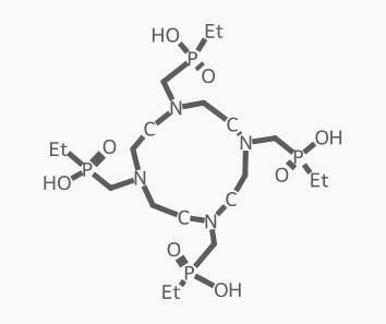 CCP(=O)(O)CN1CCN(CP(=O)(O)CC)CCN(CP(=O)(O)CC)CCN(CP(=O)(O)CC)CC1